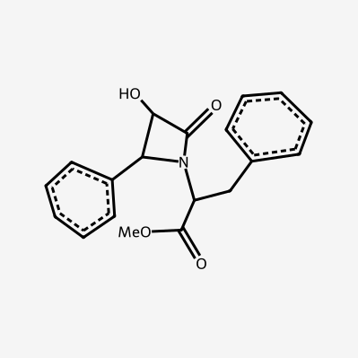 COC(=O)C(Cc1ccccc1)N1C(=O)C(O)C1c1ccccc1